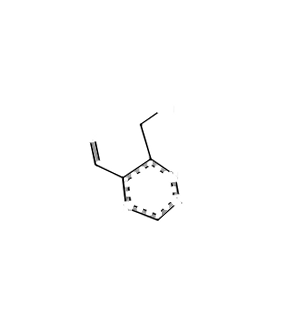 CCc1nncnc1C=O